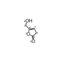 O=C1CC=C(CO)O1